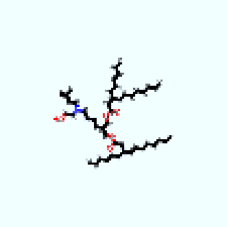 CCCCCCCCC(CCCCCC)CC(=O)OCC(CCCCN(CC=C(C)C)CCO)COC(=O)CC(CCCCCC)CCCCCCCC